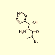 CCN(C)C(=O)[C@H](N)[C@@H](O)c1ccncc1